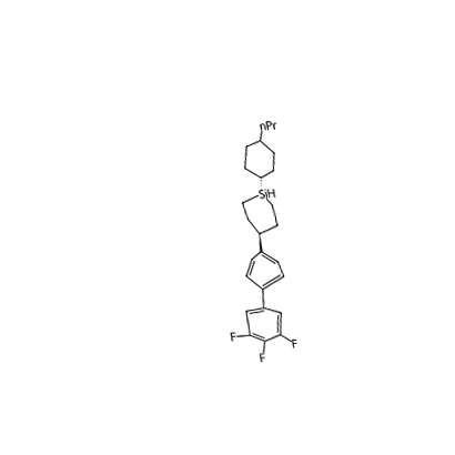 CCCC1CCC([Si@H]2CC[C@H](c3ccc(-c4cc(F)c(F)c(F)c4)cc3)CC2)CC1